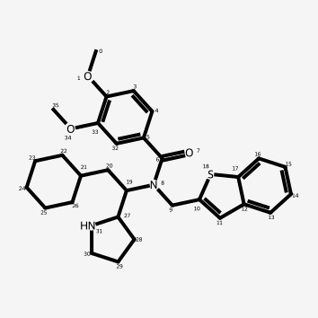 COc1ccc(C(=O)N(Cc2cc3ccccc3s2)C(CC2CCCCC2)C2CCCN2)cc1OC